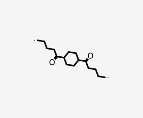 [CH2]CCCC(=O)C1CCC(C(=O)CCC[CH2])CC1